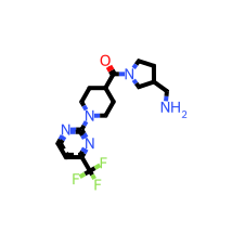 NCC1CCN(C(=O)C2CCN(c3nccc(C(F)(F)F)n3)CC2)C1